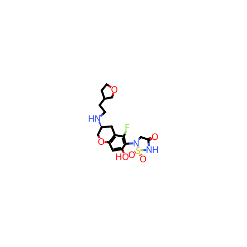 O=C1CN(c2c(O)cc3c(c2F)C[C@H](NCCC2CCOC2)CO3)S(=O)(=O)N1